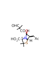 CC(=O)C=C1C(=O)N2[C@@H]1SC(C)(C)[C@@H]2C(=O)O.CC(C)(C=O)C(=O)O